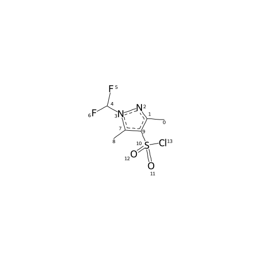 Cc1nn(C(F)F)c(C)c1S(=O)(=O)Cl